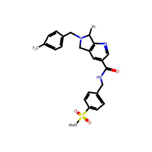 CNS(=O)(=O)c1ccc(CNC(=O)c2cnc3c(c2)CN(Cc2ccc(C(F)(F)F)cc2)C3C(C)C)cc1